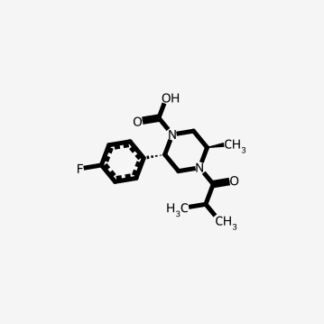 CC(C)C(=O)N1C[C@H](c2ccc(F)cc2)N(C(=O)O)C[C@H]1C